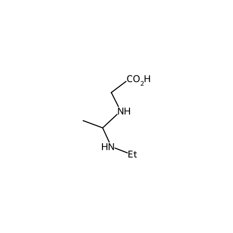 CCNC(C)NCC(=O)O